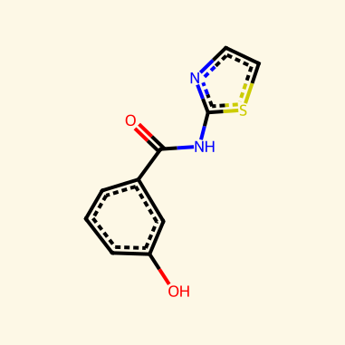 O=C(Nc1nccs1)c1cccc(O)c1